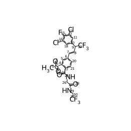 CS(=O)(=O)c1cc(C=CC(c2cc(Cl)c(F)c(Cl)c2)C(F)(F)F)ccc1C(=O)NCC(=O)NCC(F)(F)F